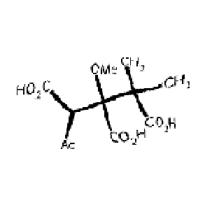 COC(C(=O)O)(C(C(C)=O)C(=O)O)C(C)(C)C(=O)O